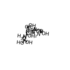 CC(N)O.CC(N)O.CC(N)O.CCCCCCCCCP(=O)(O)O.O=[PH](O)O